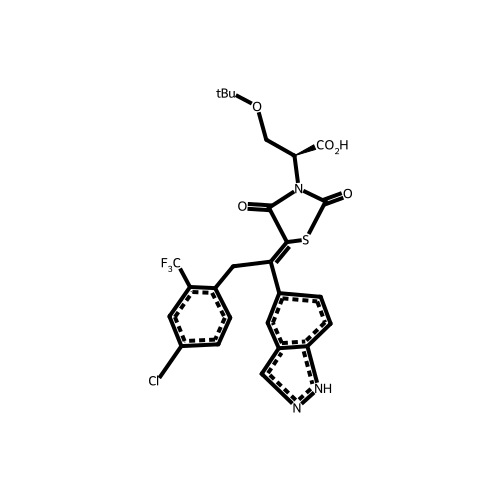 CC(C)(C)OC[C@@H](C(=O)O)N1C(=O)S/C(=C(/Cc2ccc(Cl)cc2C(F)(F)F)c2ccc3[nH]ncc3c2)C1=O